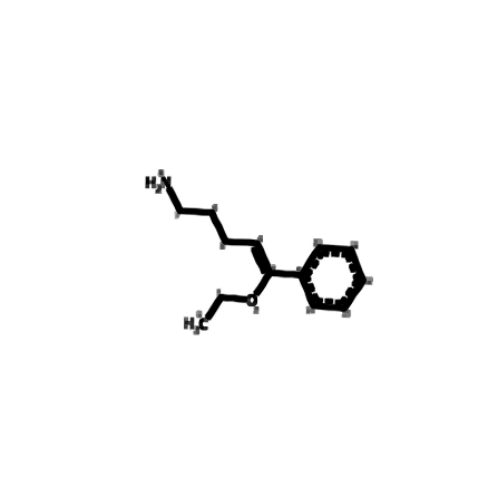 CCOC(=CCCCN)c1ccccc1